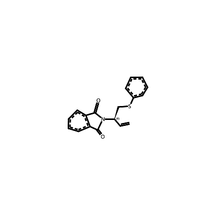 C=C[C@H](CSc1ccccc1)N1C(=O)c2ccccc2C1=O